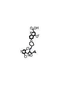 COc1cc(C(=O)O)nc2ccc(N3CCC(/C=C/c4c(-c5c(Cl)cncc5Cl)noc4C4CC4)CC3)cc12